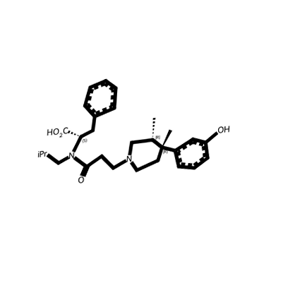 CC(C)CN(C(=O)CCN1CC[C@@](C)(c2cccc(O)c2)[C@@H](C)C1)[C@@H](Cc1ccccc1)C(=O)O